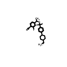 C=CC1CCC(c2ccc(C(F)(F)OC(C)c3ccc(C#N)c(F)c3)cc2)CC1